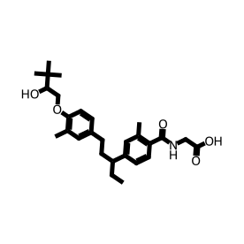 CCC(CCc1ccc(OCC(O)C(C)(C)C)c(C)c1)c1ccc(C(=O)NCC(=O)O)c(C)c1